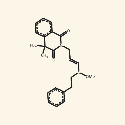 CON(C=CCN1C(=O)c2ccccc2C(C)(C)C1=O)CCc1ccccc1